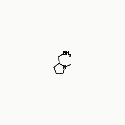 BCC1CCCN1C